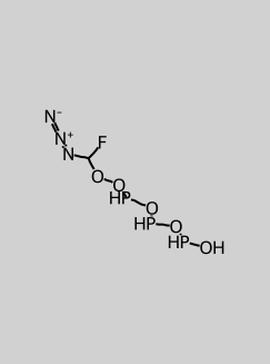 [N-]=[N+]=NC(F)OOPOPOPO